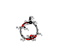 C=CC(=O)Oc1cc2ccc1C1=C(O)/C(=c3\cc/c(cc3OC(=O)C=C)=[N+](/C)CCOCCCOCC/[N+](C)=c3\cc/c(c(OC(O)C=C)c3)=C3/C(=O)C(=C3O)c3ccc(cc3OC(=O)C=C)N(C)CCOCCCOCCN2C)C1=O